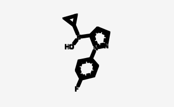 OB(c1ccnn1-c1ccc(F)cc1)C1CC1